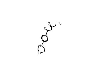 CCC(=O)CC(=O)c1ccc(N2CCOCC2)cc1